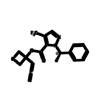 C=C=CC1(OC(=O)c2c(C(F)(F)F)cnn2[C@H](C)c2ccccc2)COC1